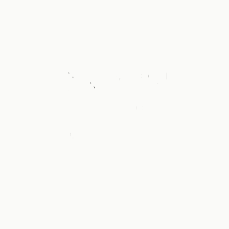 Cc1ccccc1COc1cc(-n2cnc3ccc(Cl)cc32)sc1C(=O)O